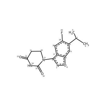 CC(C)c1cc2onc(N3CCC(=O)NC3=O)c2cc1F